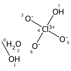 CO.O.[O-][Cl+3]([O-])([O-])O